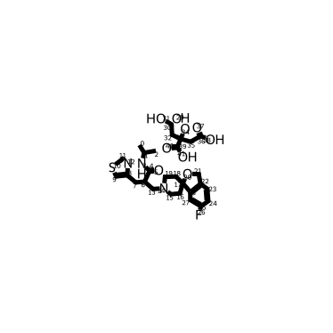 CC(C)NC(=O)C(Cc1cscn1)CN1CCC2(CC1)OCc1ccc(F)cc12.O=C(O)CC(O)(CC(=O)O)C(=O)O